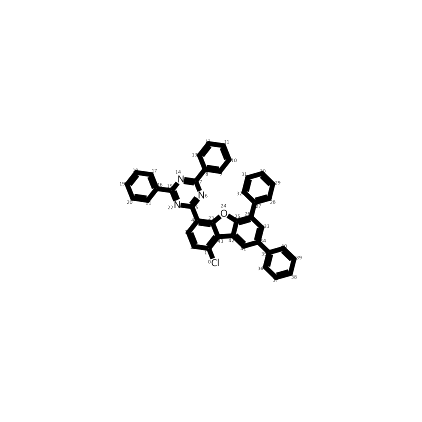 Clc1ccc(-c2nc(-c3ccccc3)nc(-c3ccccc3)n2)c2oc3c(-c4ccccc4)cc(-c4ccccc4)cc3c12